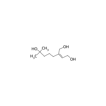 CC(C)(O)CCCC(=CCO)CO